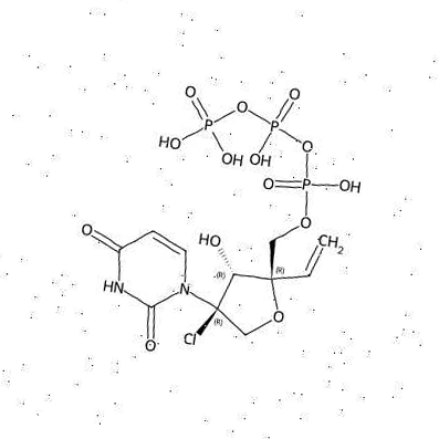 C=C[C@]1(COP(=O)(O)OP(=O)(O)OP(=O)(O)O)OC[C@](Cl)(n2ccc(=O)[nH]c2=O)[C@@H]1O